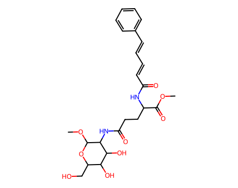 COC(=O)C(CCC(=O)NC1C(OC)OC(CO)C(O)C1O)NC(=O)/C=C/C=C/c1ccccc1